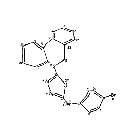 Brc1ccc(Nc2nnc(SCc3ccccc3-c3ccccc3)o2)cc1